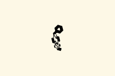 C=C[Si](C)(C)N1CCN(Cc2ccccc2)CC1